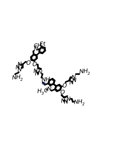 CCc1cccc2c1N(C)Cc1cc(OCc3cn(CCN)nn3)c(OCc3cn(CCN/C=C\c4cccc5c4N(C)Cc4cc(OCc6cn(CCN)nn6)c(OCc6cn(CCN)nn6)cc4-5)nn3)cc1-2